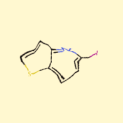 Ic1ccc2sccc2n1